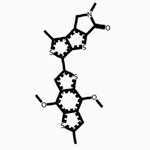 COc1c2cc(-c3sc(C)c4c5c(sc34)C(=O)N(C)C5)sc2c(OC)c2cc(C)sc12